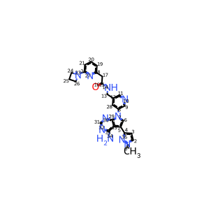 Cn1ccc(-c2cn(-c3cncc(CNC(=O)Cc4cccc(N5CCC5)n4)c3)c3ncnc(N)c23)n1